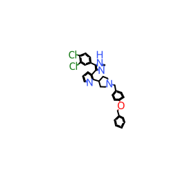 Clc1ccc(-c2[nH]cnc2-c2cccnc2C2CCN(Cc3ccc(OCc4ccccc4)cc3)CC2)cc1Cl